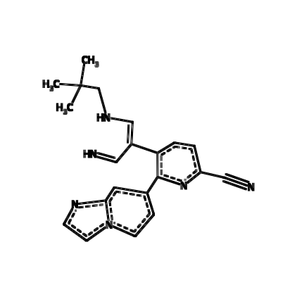 CC(C)(C)CN/C=C(\C=N)c1ccc(C#N)nc1-c1ccn2ccnc2c1